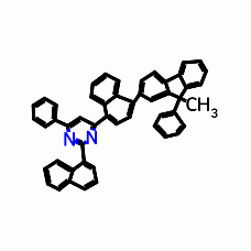 CC1(c2ccccc2)c2ccccc2-c2ccc(-c3ccc(-c4cc(-c5ccccc5)nc(-c5cccc6ccccc56)n4)c4ccccc34)cc21